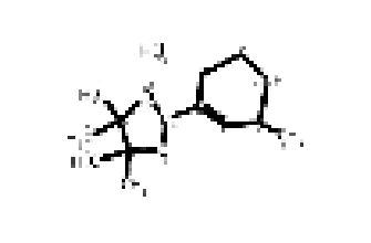 CC1C=C(B2OC(C)(C)C(C)(C)O2)CCN1.Cl